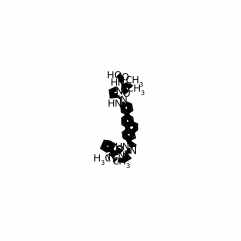 CC(C)[C@H](NC(=O)O)C(=O)N1CCC[C@H]1c1nc2ccc(-c3ccc4c(c3)CCc3cc(-c5cnc([C@@H]6CCCN6C(=O)C(c6ccccc6)N(C)C)[nH]5)ccc3-4)cc2[nH]1